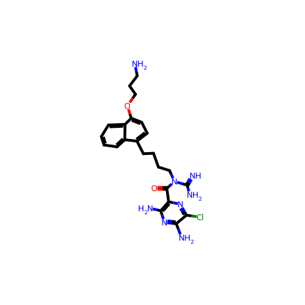 N=C(N)N(CCCCc1ccc(OCCCN)c2ccccc12)C(=O)c1nc(Cl)c(N)nc1N